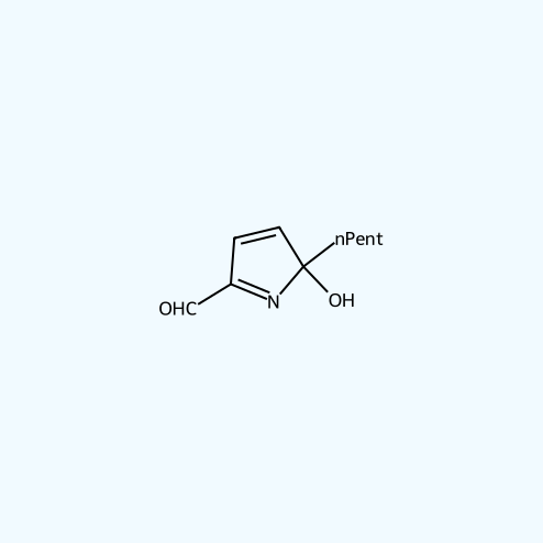 CCCCCC1(O)C=CC(C=O)=N1